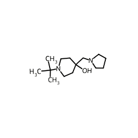 CC(C)(C)N1CCC(O)(CN2CCCC2)CC1